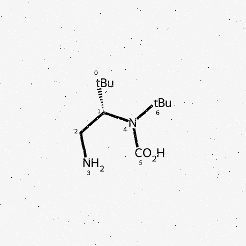 CC(C)(C)[C@@H](CN)N(C(=O)O)C(C)(C)C